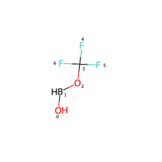 OBOC(F)(F)F